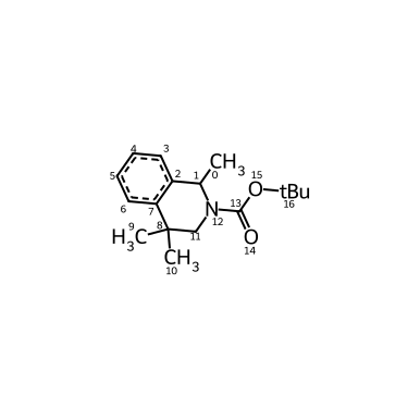 CC1c2ccccc2C(C)(C)CN1C(=O)OC(C)(C)C